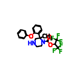 CC1(c2ccccc2Oc2ccccc2)CNCCN1C(=O)OC(C(F)(F)F)C(F)(F)F